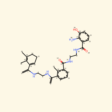 C=C(NCCNC(=C)c1cccc(C(=O)NCCNC(=O)c2cccc(O)c2N)c1C)C1=CCCC(C)=C1C